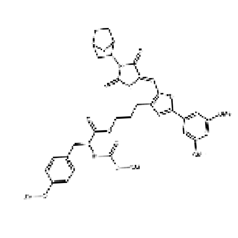 COc1cc(OC)cc(-c2cc(CCCOC(=O)[C@H](Cc3ccc(OC(C)(C)C)cc3)NC(=O)OC(C)(C)C)c(/C=C3\SC(=S)N(C4CC5CCC4C5)C3=O)o2)c1